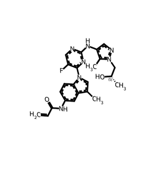 C=CC(=O)Nc1ccc2c(c1)c(C)cn2-c1nc(Nc2cnn(C[C@H](C)O)c2C)ncc1F